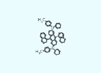 Cc1ccc(N(C2=CCCC=C2)c2ccc3c(-c4cccc5ccccc45)c4cc(N(c5ccccc5)c5ccc(C)cc5)ccc4c(-c4cccc5ccccc45)c3c2)cc1